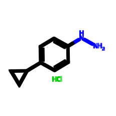 Cl.NNc1ccc(C2CC2)cc1